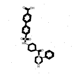 O=C(O)c1ccc(-c2ccc(S(=O)(=O)N[C@H]3CC[C@H](C(=O)N4CCNC[C@@H]4c4ccccc4)CC3)cc2)cc1